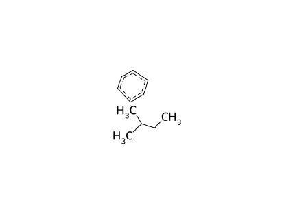 CCC(C)C.c1ccccc1